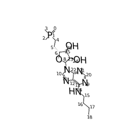 C=P(C)(C)CC[C@H]1OC(n2cnc3c(NCCCC)ncnc32)[C@H](O)[C@@H]1O